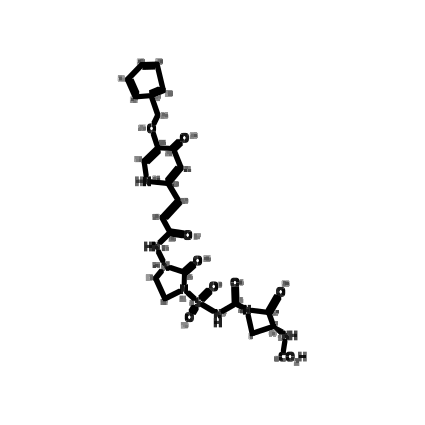 O=C(O)N[C@H]1CN(C(=O)NS(=O)(=O)N2CCN(NC(=O)C=Cc3cc(=O)c(OCc4ccccc4)c[nH]3)C2=O)C1=O